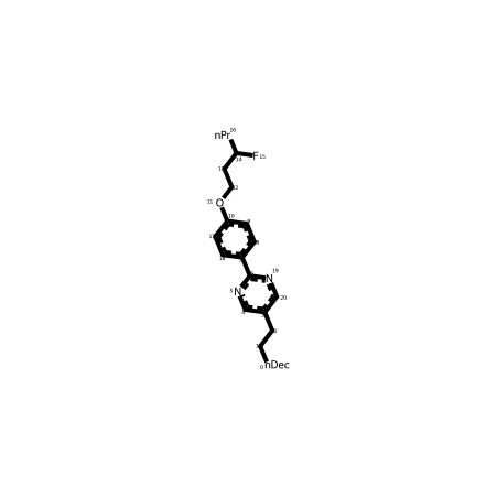 CCCCCCCCCCCCc1cnc(-c2ccc(OCCC(F)CCC)cc2)nc1